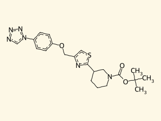 CC(C)(C)OC(=O)N1CCCC(c2nc(COc3ccc(-n4cnnn4)cc3)cs2)C1